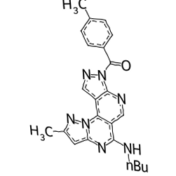 CCCCNc1nc2cc(C)nn2c2c1cnc1c2cnn1C(=O)c1ccc(C)cc1